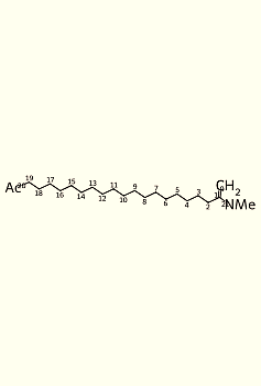 C=C(CCCCCCCCCCCCCCCCCCC(C)=O)NC